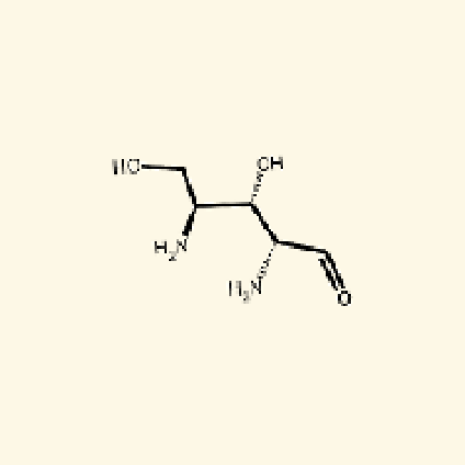 N[C@@H](C=O)[C@@H](O)[C@@H](N)CO